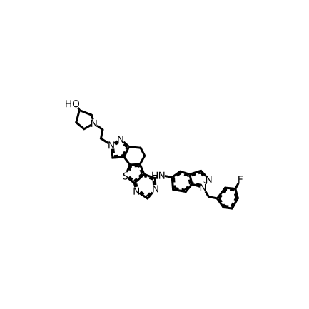 OC1CCN(CCn2cc3c(n2)CCc2c-3sc3ncnc(Nc4ccc5c(cnn5Cc5cccc(F)c5)c4)c23)C1